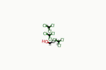 ClC(Cl)Cl.ClC(Cl)Cl.ClC(Cl)Cl.OCC(F)(F)F